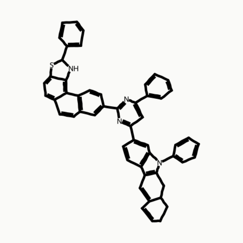 C1=CC2=Cc3c(n(-c4ccccc4)c4cc(-c5cc(-c6ccccc6)nc(-c6ccc7c(ccc8ccc9c(c87)NC(c7ccccc7)S9)c6)n5)ccc34)CC2CC1